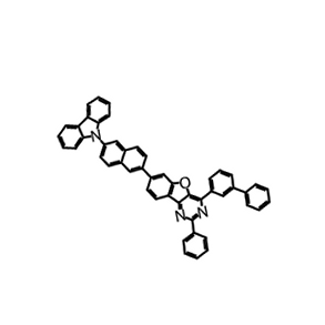 c1ccc(-c2cccc(-c3nc(-c4ccccc4)nc4c3oc3cc(-c5ccc6cc(-n7c8ccccc8c8ccccc87)ccc6c5)ccc34)c2)cc1